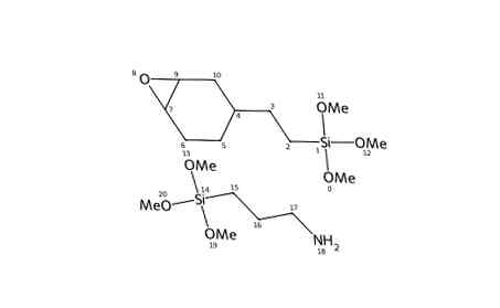 CO[Si](CCC1CCC2OC2C1)(OC)OC.CO[Si](CCCN)(OC)OC